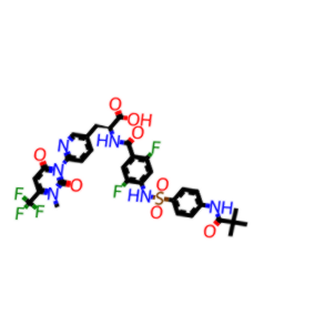 Cn1c(C(F)(F)F)cc(=O)n(-c2ccc(C[C@H](NC(=O)c3cc(F)c(NS(=O)(=O)c4ccc(NC(=O)C(C)(C)C)cc4)cc3F)C(=O)O)cn2)c1=O